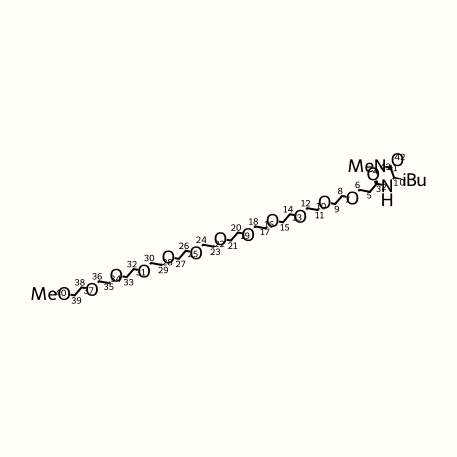 CC[C@H](C)[C@H](NC(=O)CCOCCOCCOCCOCCOCCOCCOCCOCCOCCOCCOCCOC)C(=O)NC